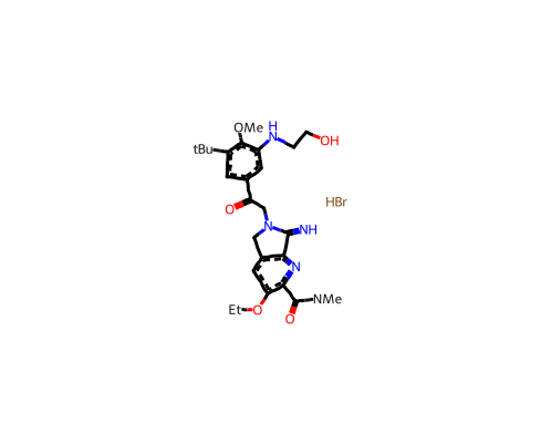 Br.CCOc1cc2c(nc1C(=O)NC)C(=N)N(CC(=O)c1cc(NCCO)c(OC)c(C(C)(C)C)c1)C2